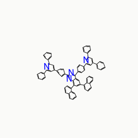 c1ccc(-c2cc(-c3ccccc3)nc(-c3ccc(-c4nc(-c5ccc(-c6cc(-c7ccccc7)nc(-c7ccccc7)c6)cc5)nc5c(-c6cccc7ccccc67)cc(-c6cccc7ccccc67)cc45)cc3)c2)cc1